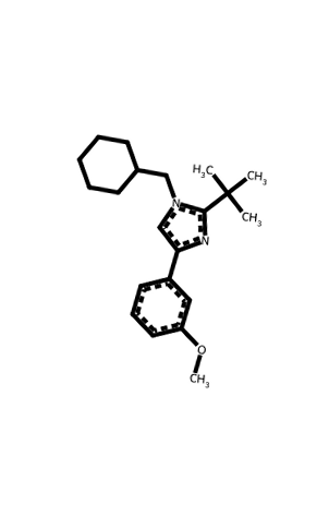 COc1cccc(-c2cn(CC3CCCCC3)c(C(C)(C)C)n2)c1